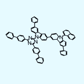 C1=CC2C(C=C1c1ccc3c(c1)c1cc(-c4ccccc4)ccc1n3-c1nc(-c3ccc(-c4ccccc4)cc3)nc(-c3ccc(-c4ccccc4)cc3)n1)c1cc(-c3ccccc3)ccc1N2c1cccc2ccccc12